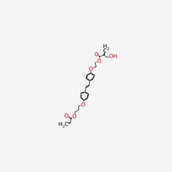 C=CC(=O)OCCCOc1ccc(/C=C/c2ccc(OCCOC(=O)C(=C)CO)cc2)cc1